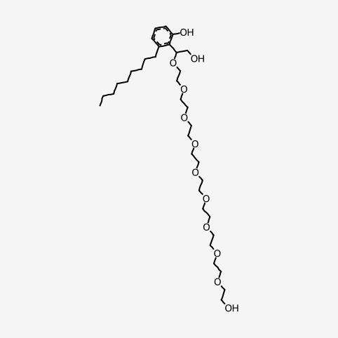 CCCCCCCCCc1cccc(O)c1C(CO)OCCOCCOCCOCCOCCOCCOCCOCCOCCO